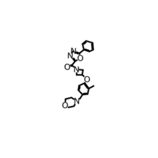 Cc1cc(CN2CCOCC2)ccc1OC1CN(C(=O)c2nnc(-c3ccccc3)o2)C1